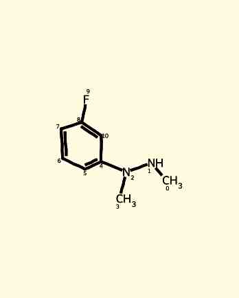 CNN(C)c1cccc(F)c1